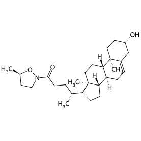 C[C@@H]1CCN(C(=O)CC[C@@H](C)[C@H]2CC[C@H]3[C@@H]4CC=C5C[C@@H](O)CC[C@]5(C)[C@H]4CC[C@]23C)O1